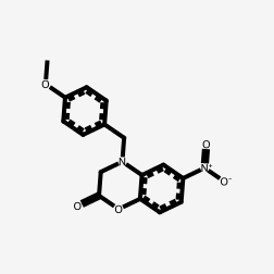 COc1ccc(CN2CC(=O)Oc3ccc([N+](=O)[O-])cc32)cc1